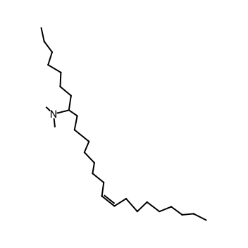 CCCCCCCC/C=C\CCCCCCCC(CCCCCCC)N(C)C